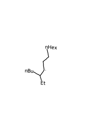 CCCCCCCC[CH]C(CC)CCCC